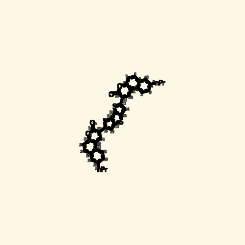 CCCc1ccc2c(ccc3oc(=O)c(-c4cc5sc6cc(-c7cc8c(ccc9cc(CCC)ccc98)oc7=O)sc6c5s4)cc32)c1